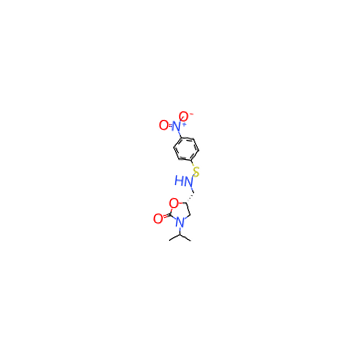 CC(C)N1C[C@@H](CNSc2ccc([N+](=O)[O-])cc2)OC1=O